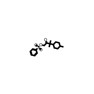 CC1CCC(C(C)(C)C(=O)COS(=O)(=O)c2ccccc2)CC1